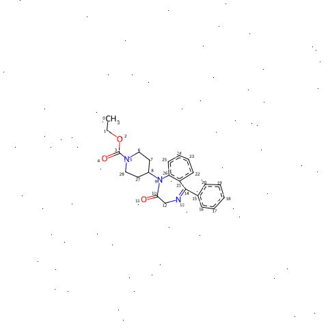 CCOC(=O)N1CCC(N2C(=O)CN=C(c3ccccc3)c3ccccc32)CC1